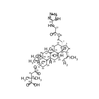 C=C(C)C1CC[C@]2(CCOC(=O)CNc3nnn[nH]3)CC[C@]3(C)[C@H](CC[C@@H]4[C@@]5(C)CC[C@H](OC(=O)CC(C)(C)C(=O)O)C(C)(C)[C@@H]5CC[C@]43C)[C@@H]12